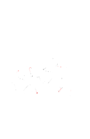 CCCCC(=O)c1c(CC(=O)OC)cc2c(c1O)C(=O)c1c(O)cccc1C2=O